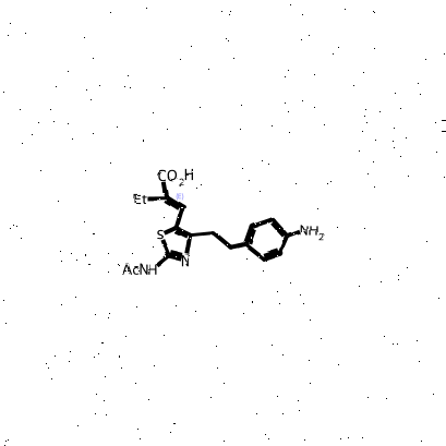 CC/C(=C\c1sc(NC(C)=O)nc1CCc1ccc(N)cc1)C(=O)O